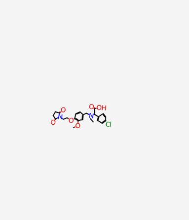 CCN(Cc1ccc(OCCN2C(=O)CCC2=O)c(OC)c1)C(C(=O)O)c1ccc(Cl)cc1